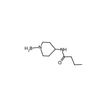 BN1CCC(NC(=O)CCC)CC1